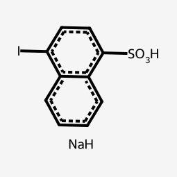 O=S(=O)(O)c1ccc(I)c2ccccc12.[NaH]